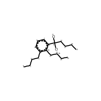 CCCCc1cccc(C(Cl)(Cl)CCCC)c1CCCC